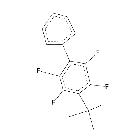 CC(C)(C)c1c(F)c(F)c(-c2ccccc2)c(F)c1F